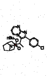 CCCCOC(=O)N1C2CCC1CN(C(C)c1c(-c3ccc(Cl)cc3)nc3ncccn13)C2